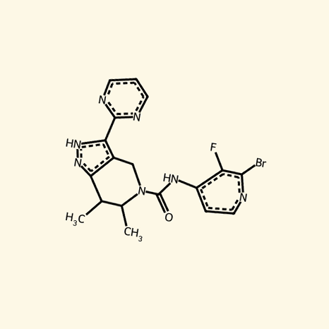 CC1c2n[nH]c(-c3ncccn3)c2CN(C(=O)Nc2ccnc(Br)c2F)C1C